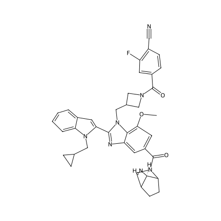 COc1cc(C(=O)N2CC3CCC2[C@@H]3N)cc2nc(-c3cc4ccccc4n3CC3CC3)n(CC3CN(C(=O)c4ccc(C#N)c(F)c4)C3)c12